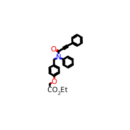 CCOC(=O)COc1ccc(CN(C(=O)C#Cc2ccccc2)c2ccccc2)cc1